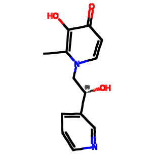 Cc1c(O)c(=O)ccn1C[C@H](O)c1cccnc1